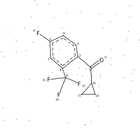 O=C(c1ccc(F)cc1C(F)(F)F)C1CC1